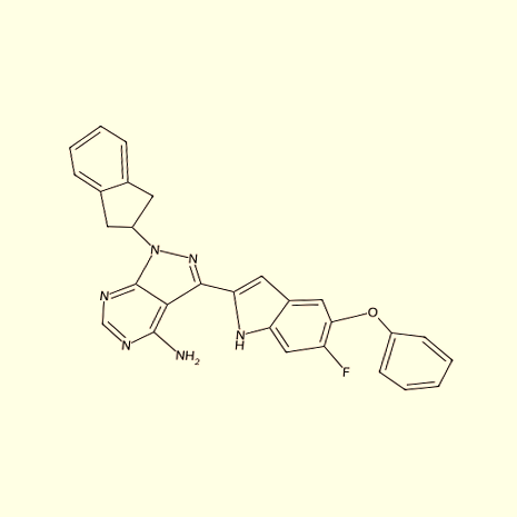 Nc1ncnc2c1c(-c1cc3cc(Oc4ccccc4)c(F)cc3[nH]1)nn2C1Cc2ccccc2C1